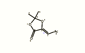 CC(=O)/C=C1\OC(C)(C)OC1=O